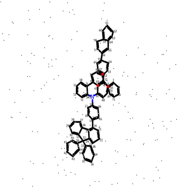 c1ccc(-c2cccc(-c3ccccc3N(c3ccc(-c4cccc5c4-c4ccccc4C5(c4ccccc4)c4ccccc4)cc3)c3cccc(-c4ccc(-c5ccc6ccccc6c5)cc4)c3)c2)cc1